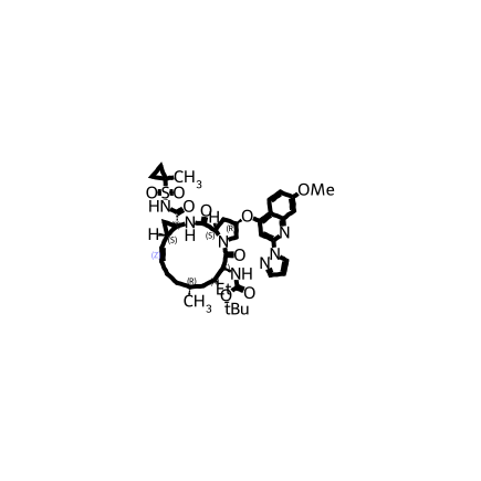 CC[C@@H]1C[C@H](C)CC/C=C\[C@@H]2C[C@@]2(C(=O)NS(=O)(=O)C2(C)CC2)NC(=O)[C@@H]2C[C@@H](Oc3cc(-n4cccn4)nc4cc(OC)ccc34)CN2C(=O)[C@H]1NC(=O)OC(C)(C)C